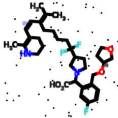 CC(C)=C(/C=C\C1=C(C)NCCC1)CCCCC(F)(F)C1CCN(C(C(=O)O)c2cc(F)ccc2CO[C@H]2CCOC2)C1